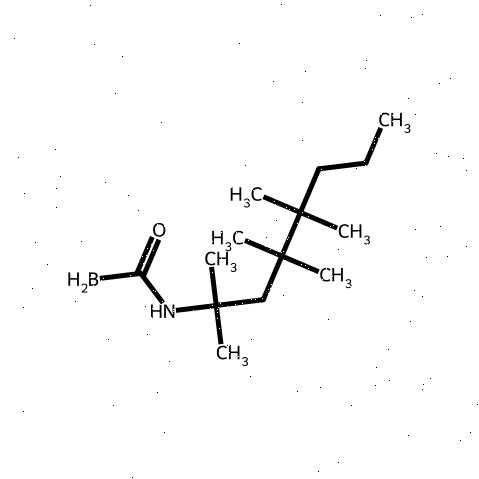 BC(=O)NC(C)(C)CC(C)(C)C(C)(C)CCC